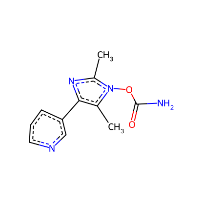 Cc1nc(-c2cccnc2)c(C)n1OC(N)=O